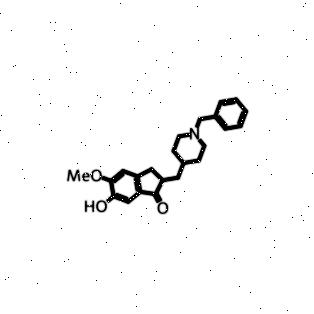 COc1cc2c(cc1O)C(=O)C(CC1CCN(Cc3ccccc3)CC1)C2